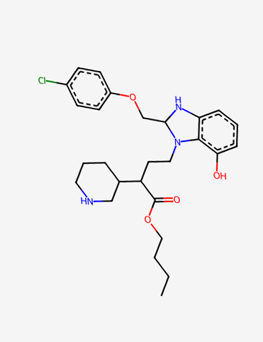 CCCCOC(=O)C(CCN1c2c(O)cccc2NC1COc1ccc(Cl)cc1)C1CCCNC1